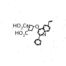 C=Cc1ccc2nc(-c3ccccc3)cc(O[C@@H]3C[C@@H](C(=O)O)N(C(=O)O)C3)c2c1